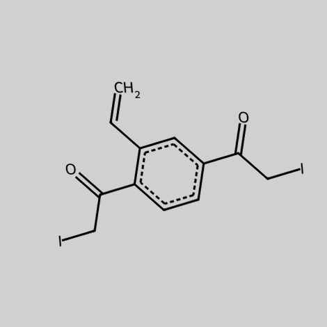 C=Cc1cc(C(=O)CI)ccc1C(=O)CI